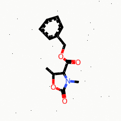 CC1OC(=O)N(C)C1C(=O)OCc1ccccc1